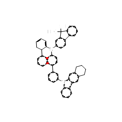 CC1(C)c2ccccc2-c2ccc(N(C3=CC=CCC3c3ccccc3)c3ccc(-c4cccc(-n5c6ccccc6c6cc7c(cc65)CCCC7)c4)cc3)cc21